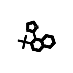 CC(C)(C)c1ccc2ccccc2c1-c1nccs1